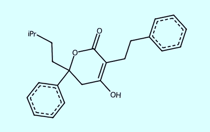 CC(C)CCC1(c2ccccc2)CC(O)=C(CCc2ccccc2)C(=O)O1